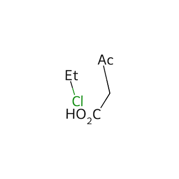 CC(=O)CC(=O)O.CCCl